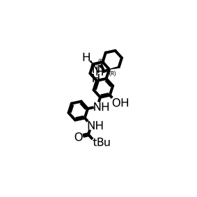 CC(C)(C)C(=O)Nc1ccccc1Nc1cc2c(cc1O)[C@@]13CCCC[C@H]1[C@@H](C2)NCC3